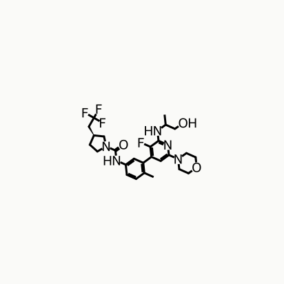 Cc1ccc(NC(=O)N2CC[C@@H](CC(F)(F)F)C2)cc1-c1cc(N2CCOCC2)nc(NC(C)CO)c1F